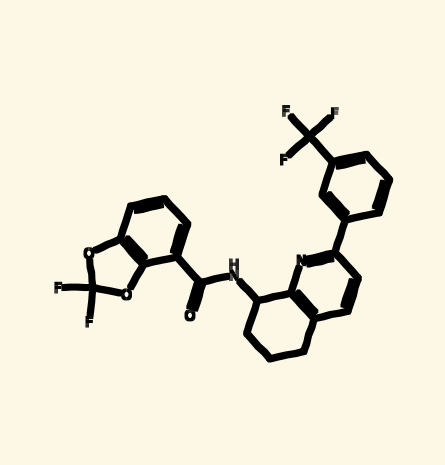 O=C(NC1CCCc2ccc(-c3cccc(C(F)(F)F)c3)nc21)c1cccc2c1OC(F)(F)O2